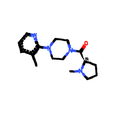 Cc1cccnc1N1CCN(C(=O)[C@@H]2CCCN2C)CC1